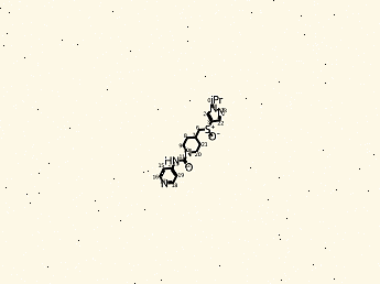 CC(C)n1cc([S+]([O-])CC2CCN(C(=O)Nc3ccncc3)CC2)cn1